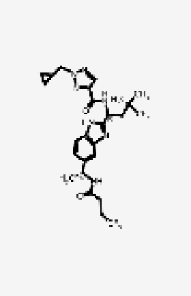 C[C@@H](NC(=O)CCC(F)(F)F)c1ccc2[nH]c([C@H](CC(C)(C)C(F)(F)F)NC(=O)c3cnn(CC4CC4)n3)nc2c1